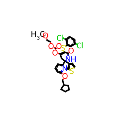 COCCOC(=O)OC1=C(Sc2cc(Cl)ccc2Cl)C(=O)NC(c2ccsc2)(c2cccc(OCC3CCCC3)n2)C1